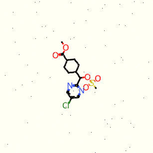 COC(=O)C1CCC(C(OS(C)(=O)=O)c2ncc(Cl)cn2)CC1